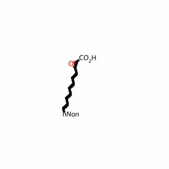 CCCCCCCCCC=CC=CC=CC=CC1=C(C(=O)O)O1